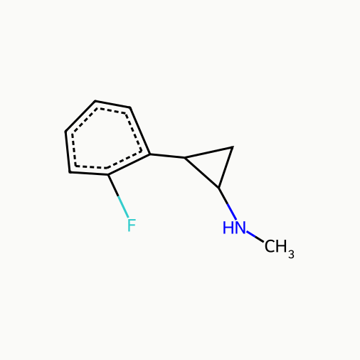 CNC1CC1c1ccccc1F